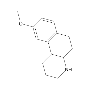 COc1ccc2c(c1)C1CCCNC1CC2